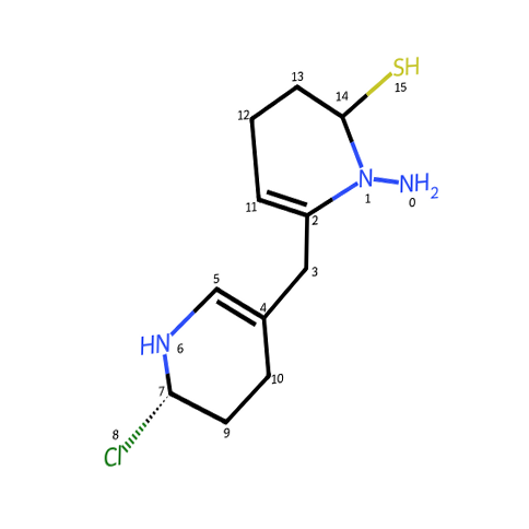 NN1C(CC2=CN[C@@H](Cl)CC2)=CCCC1S